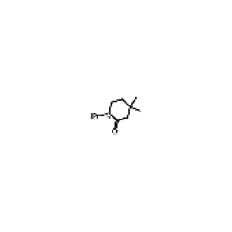 CC(C)[C@H]1CCC(C)(C)CC1=O